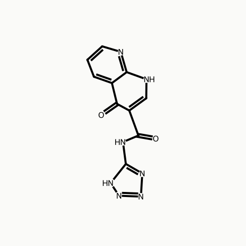 O=C(Nc1nnn[nH]1)c1c[nH]c2ncccc2c1=O